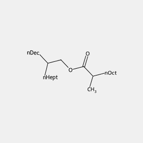 CCCCCCCCCCC(CCCCCCC)COC(=O)C(C)CCCCCCCC